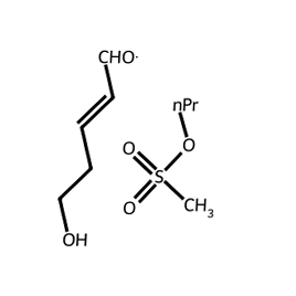 CCCOS(C)(=O)=O.O=[C]C=CCCO